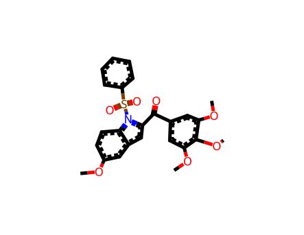 COc1ccc2c(c1)cc(C(=O)c1cc(OC)c(OC)c(OC)c1)n2S(=O)(=O)c1ccccc1